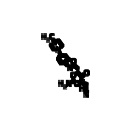 CN1CCN(c2ccc3nc(C[C@H](OC(N)=O)C(=O)NCC#N)oc3c2)CC1